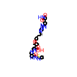 Cc1c(OC2CCC(CC[C@H](C)CN3CCN(c4nc5ccc(C6CCC(=O)NC6=O)cc5n4C)CC3)CC2)cccc1-c1ccc(N2CCc3cccc(C(=O)Nc4nc5ccccc5s4)c3C2)nc1C(=O)O